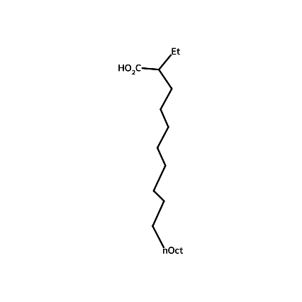 [CH2]CC(CCCCCCCCCCCCCCCC)C(=O)O